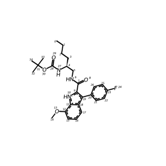 CCCC[C@@H](CNC(=O)c1[nH]c2c(OC)cccc2c1-c1ccc(F)cc1)NC(=O)OC(C)(C)C